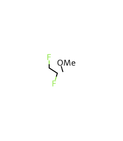 COC.FCCF